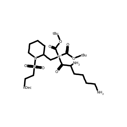 CCCCCCCCCCCCS(=O)(=O)N1CCCCC1C[N+](C(=O)OC(C)(C)C)(C(=O)OC(C)(C)C)C(=O)C(N)CCCCN